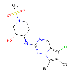 CCC(C)c1c(C#N)c(Cl)c2cnc(N[C@@H]3CCN(S(C)(=O)=O)C[C@H]3O)nn12